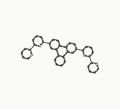 c1ccc(-c2cccc(-c3ccc4c5ccc(-c6cccc(-c7ccccn7)n6)cc5c5ccccc5c4c3)n2)nc1